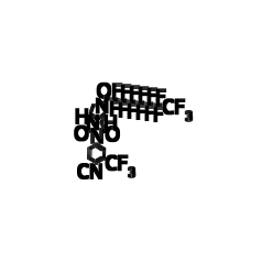 N#Cc1ccc(N2C(=O)[C@@H]3C4C[C@H](CN4C(=O)C(F)(F)C(F)(F)C(F)(F)C(F)(F)C(F)(F)C(F)(F)C(F)(F)F)N3C2=O)cc1C(F)(F)F